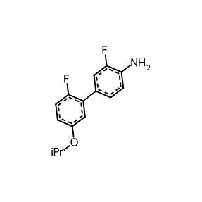 CC(C)Oc1ccc(F)c(-c2ccc(N)c(F)c2)c1